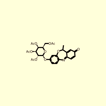 CC(=O)OC[C@H]1O[C@@H](Oc2ccc3c(c2)OC(C)C2=CC(=O)C=CC2=N3)[C@H](OC(C)=O)[C@@H](OC(C)=O)[C@H]1OC(C)=O